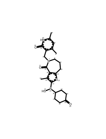 Cc1cc(C)c(CN2CCCc3sc(N(S)C4CCC(=O)CC4)c(C)c3C2=O)c(=O)[nH]1